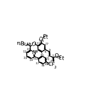 C=C(/C=C/c1ccc(OC(CCCC)c2cccc(-c3ccc(C(F)(F)F)cc3)n2)c(OCC)c1)OCC